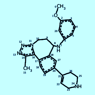 COc1cccc(NC2CCn3nnc(C)c3-c3ccc(C4=CCNCC4)cc32)c1